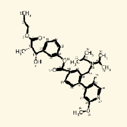 CCCOC(=O)[C@@H](C)[C@@H](O)c1cccc(OC(=O)c2ccc(-c3cc(OC)ncc3F)c(CN(C(C)C)C(C)C)c2)c1